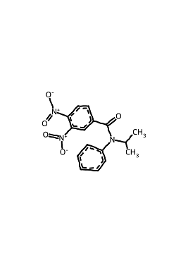 CC(C)N(C(=O)c1ccc([N+](=O)[O-])c([N+](=O)[O-])c1)c1ccccc1